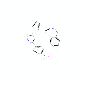 C1=CSc2ccccc2C=N1.O=[N+]([O-])c1ccc(-c2cc([SH]3C=CC=C3)ncn2)cc1